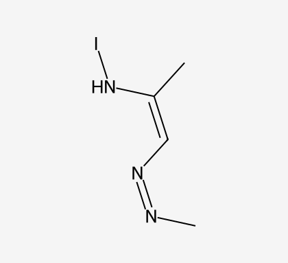 C/N=N\C=C(\C)NI